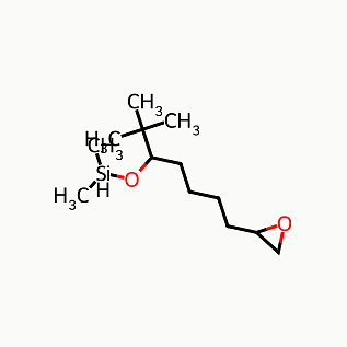 C[SiH](C)OC(CCCCC1CO1)C(C)(C)C